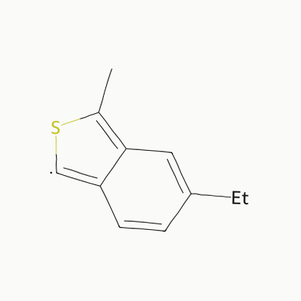 CCc1ccc2[c]sc(C)c2c1